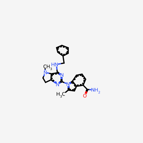 Cc1cc2c(C(N)=O)cccc2n1-c1nc2c(c(NCc3ccccc3)n1)N(C)CC2